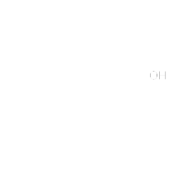 [CH2]CC=C(C)CO